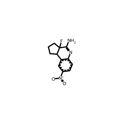 NC1=Nc2ccc([N+](=O)[O-])cc2C2CCCC12F